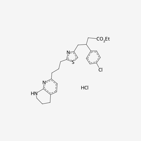 CCOC(=O)CC(Cc1csc(CCCc2ccc3c(n2)NCCC3)n1)c1ccc(Cl)cc1.Cl